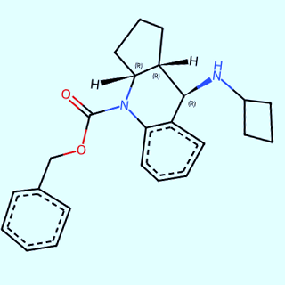 O=C(OCc1ccccc1)N1c2ccccc2[C@H](NC2CCC2)[C@H]2CCC[C@H]21